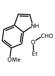 CCOC=O.COc1ccc2cc[nH]c2c1